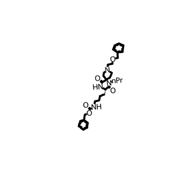 CCCN1C(=O)[C@H](CCCCNC(=O)OCc2ccccc2)NC(=O)C12CCN(CCOCc1ccccc1)CC2